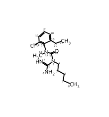 CCCCCN(C(=N)N)C(=O)N(C)c1c(Cl)cccc1CC